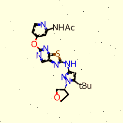 CC(=O)Nc1cc(Oc2ncc3nc(Nc4cc(C(C)(C)C)n([C@H]5CCOC5)n4)sc3n2)ccn1